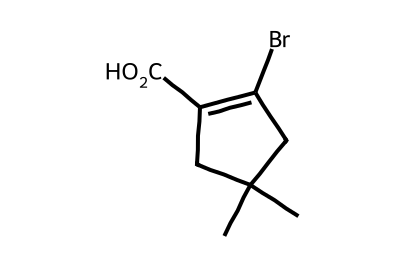 CC1(C)CC(Br)=C(C(=O)O)C1